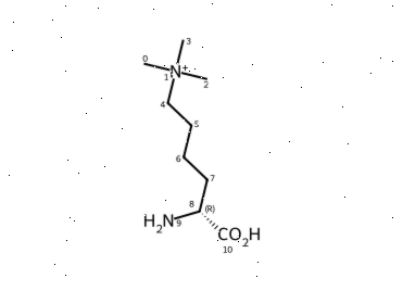 C[N+](C)(C)CCCC[C@@H](N)C(=O)O